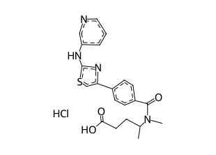 CC(CCC(=O)O)N(C)C(=O)c1ccc(-c2csc(Nc3cccnc3)n2)cc1.Cl